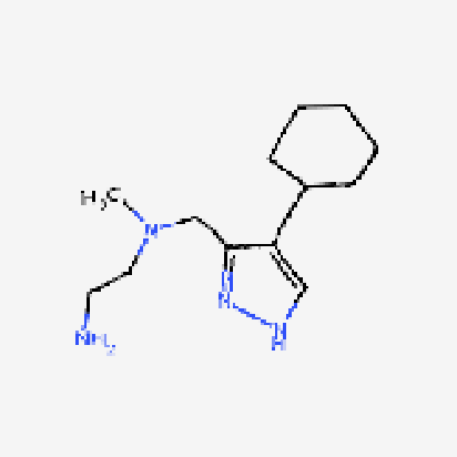 CN(CCN)Cc1n[nH]cc1C1CCCCC1